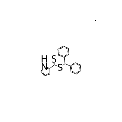 S=C(SC(c1ccccc1)c1ccccc1)c1ccc[nH]1